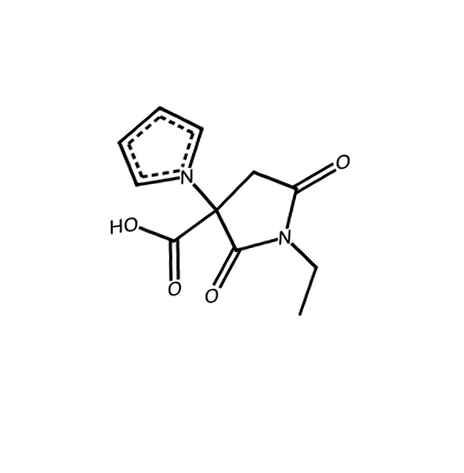 CCN1C(=O)CC(C(=O)O)(n2cccc2)C1=O